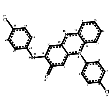 O=c1cc2n(-c3ccc(Cl)cc3)c3ccccc3nc-2cc1Nc1ccc(Cl)cc1